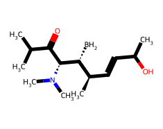 B[C@H]([C@H](C)/C=C/C(C)O)[C@@H](C(=O)C(C)C)N(C)C